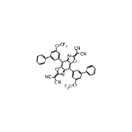 N#CC(C#N)=c1nc2c(-c3cc(OC(F)(F)F)cc(-c4ccccc4)c3)c3oc(=C(C#N)C#N)nc3c(-c3cc(OC(F)(F)F)cc(-c4ccccc4)c3)c2o1